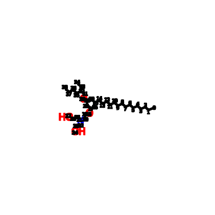 CCCCCCCCCCCCCCCc1cc(OCCN(CCO)CCO)cc(OCC(CC)CCCC)c1